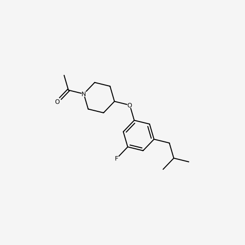 CC(=O)N1CCC(Oc2cc(F)cc(CC(C)C)c2)CC1